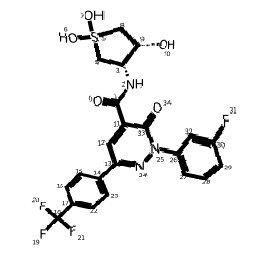 O=C(N[C@@H]1CS(O)(O)C[C@@H]1O)c1cc(-c2ccc(C(F)(F)F)cc2)nn(-c2cccc(F)c2)c1=O